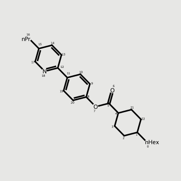 CCCCCCC1CCC(C(=O)Oc2ccc(-c3ccc(CCC)cn3)cc2)CC1